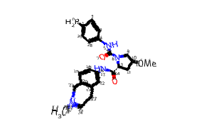 Bc1ccc(NC(=O)N2CC(OC)C[C@@H]2C(=O)Nc2ccc3c(c2)CCN(C)C3)cc1